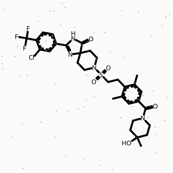 Cc1cc(C(=O)N2CCC(C)(O)CC2)cc(C)c1CCS(=O)(=O)N1CCC2(CC1)N=C(c1ccc(C(F)(F)F)c(Cl)c1)NC2=O